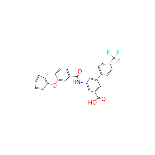 O=C(O)c1cc(NC(=O)c2cccc(Oc3ccccc3)c2)cc(-c2ccc(C(F)(F)F)cc2)c1